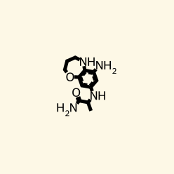 CC(Nc1cc(N)c2c(c1)OCCCN2)C(N)=O